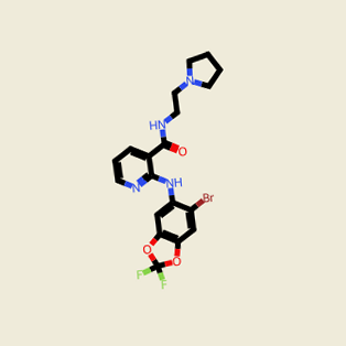 O=C(NCCN1CCCC1)c1cccnc1Nc1cc2c(cc1Br)OC(F)(F)O2